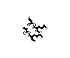 C=CC(=O)OCC(CC)CCCC.C=CC(=O)OCC(CC)CCCC